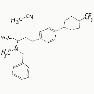 CC#N.CC(CCc1ccc(C2CCC(C(F)(F)F)CC2)cc1)N(C)Cc1ccccc1